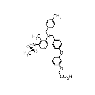 Cc1ccc(CN(Cc2ccc(Oc3cccc(OCC(=O)O)c3)cc2)c2cccc(NS(C)(=O)=O)c2C)cc1